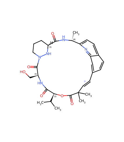 CC(C)[C@@H]1OC(=O)C(C)(C)/C=C/c2ccc3ccc(nc3c2)[C@@H](C)NC(=O)[C@@H]2CCCN(N2)C(=O)[C@H](CO)NC1=O